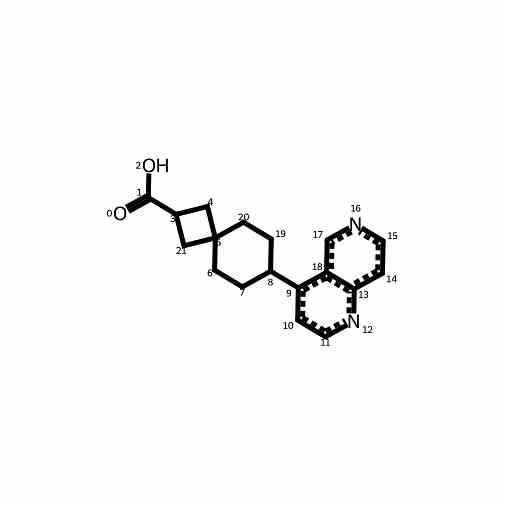 O=C(O)C1CC2(CCC(c3ccnc4ccncc34)CC2)C1